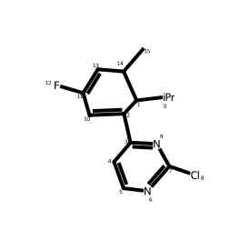 CC(C)C1C(c2ccnc(Cl)n2)=CC(F)=CC1C